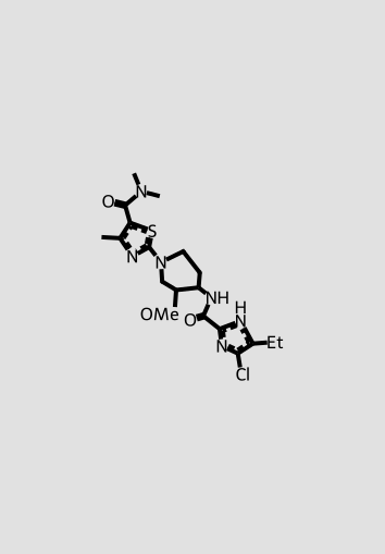 CCc1[nH]c(C(=O)NC2CCN(c3nc(C)c(C(=O)N(C)C)s3)CC2OC)nc1Cl